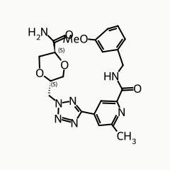 COc1cccc(CNC(=O)c2cc(-c3nnn(C[C@H]4CO[C@H](C(N)=O)CO4)n3)cc(C)n2)c1